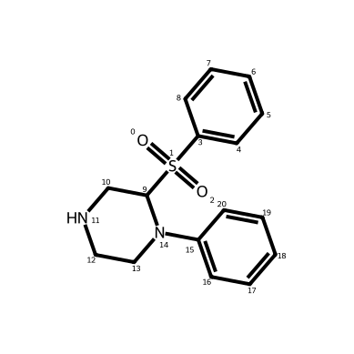 O=S(=O)(c1ccccc1)C1CNCCN1c1ccccc1